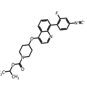 [C-]#[N+]c1ccc(-c2cccc3c(OC4CCN(C(=O)OC(C)C)CC4)ccnc23)c(F)c1